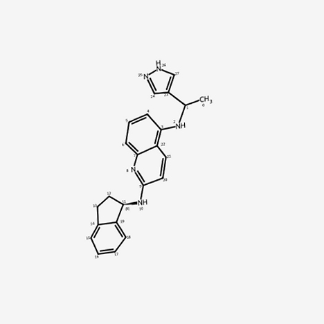 CC(Nc1cccc2nc(N[C@@H]3CCc4ccccc43)ccc12)c1cn[nH]c1